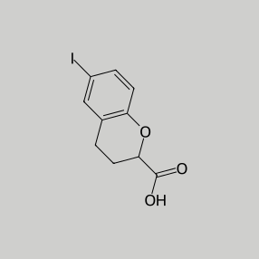 O=C(O)C1CCc2cc(I)ccc2O1